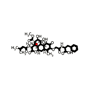 COC(=O)[C@@]12OC[C@]34C([C@@H](O)[C@@H]1O)[C@@]1(C)CC(=O)C(OCC(=O)NC(Cc5ccccc5)C(=O)O)=C(C)[C@@H]1C[C@H]3OC(=O)[C@H](OC(=O)C=C(C)C)[C@@]24N